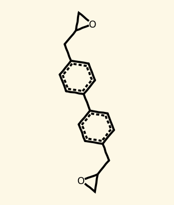 c1cc(-c2ccc(CC3CO3)cc2)ccc1CC1CO1